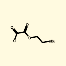 CCCCCCOC(=O)C(=O)Cl